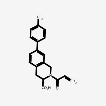 C=CC(=O)N1Cc2cc(-c3ccc(C(F)(F)F)cc3)ccc2CC1C(=O)O